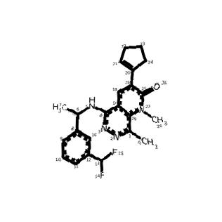 Cc1nnc(NC(C)c2cccc(C(F)F)c2)c2cc(C3=CCCC3)c(=O)n(C)c12